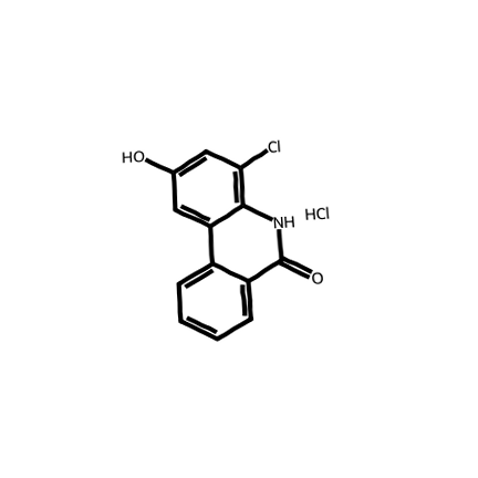 Cl.O=c1[nH]c2c(Cl)cc(O)cc2c2ccccc12